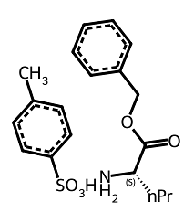 CCC[C@H](N)C(=O)OCc1ccccc1.Cc1ccc(S(=O)(=O)O)cc1